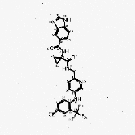 O=C(NC1(C(=O)NCc2ccc(Nc3ccc(Cl)cc3C(F)(F)F)cn2)CC1)c1ccc2[nH]cnc2c1